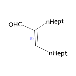 CCCCCCC/C=C(/C=O)CCCCCCC